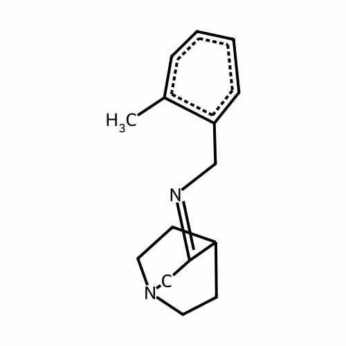 Cc1ccccc1CN=C1CN2CCC1CC2